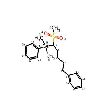 CS(=O)(=O)[CH](CCCCc1ccccc1)[Ge]([CH3])([CH3])[c]1ccccc1